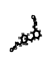 O=C=NCC1CCCC(CC2CCC[C@H](CN=C=O)C2)C1